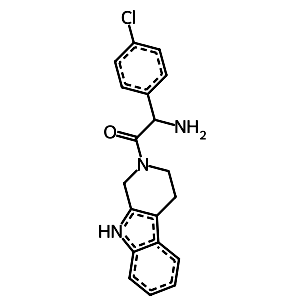 NC(C(=O)N1CCc2c([nH]c3ccccc23)C1)c1ccc(Cl)cc1